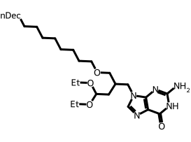 CCCCCCCCCCCCCCCCCCOCC(CC(OCC)OCC)Cn1cnc2c(=O)[nH]c(N)nc21